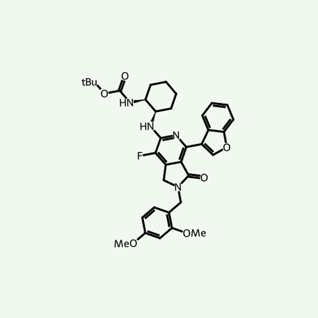 COc1ccc(CN2Cc3c(F)c(N[C@@H]4CCCC[C@@H]4NC(=O)OC(C)(C)C)nc(-c4coc5ccccc45)c3C2=O)c(OC)c1